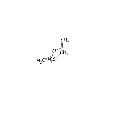 C=COC=C.C[SiH3]